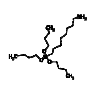 CCCCO[Si](CCCCCCCCN)(OCCCC)OCCCC